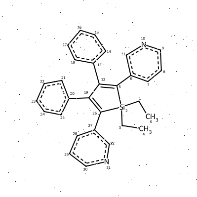 CC[Si]1(CC)C(c2cccnc2)=C(c2ccccc2)C(c2ccccc2)=C1c1cccnc1